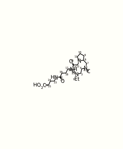 CC[15N]([13CH3])CCN([13CH3])CC1CCCN1CC(=O)NCCCC(=O)NCCCC(=O)O